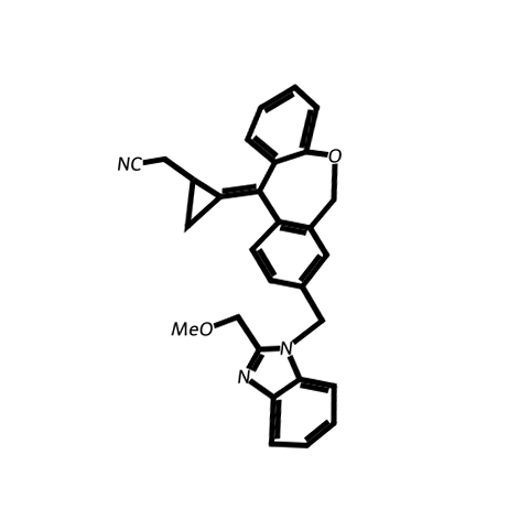 COCc1nc2ccccc2n1Cc1ccc2c(c1)COc1ccccc1C2=C1CC1CC#N